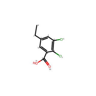 CCc1cc(Cl)c(Cl)c(C(=O)O)c1